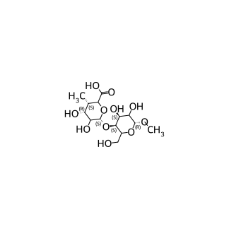 CO[C@@H]1OC(CO)[C@@H](O[C@H]2OC(C(=O)O)[C@@H](C)[C@@H](O)C2O)[C@@H](O)C1O